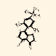 Cc1cc([Si](C)(C)C)cc(C)c1-c1ccc(F)c2c1CCC2=O